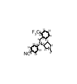 CN1CC[C@H](N(Cc2ccccc2C(F)(F)F)c2ccc(C#N)cc2)C1